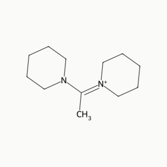 CC(N1CCCCC1)=[N+]1CCCCC1